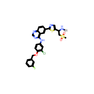 CCNC(CS(C)(=O)=O)c1cnc(-c2ccc3ncnc(Nc4ccc(OCc5cccc(F)c5)c(Cl)c4)c3c2)s1